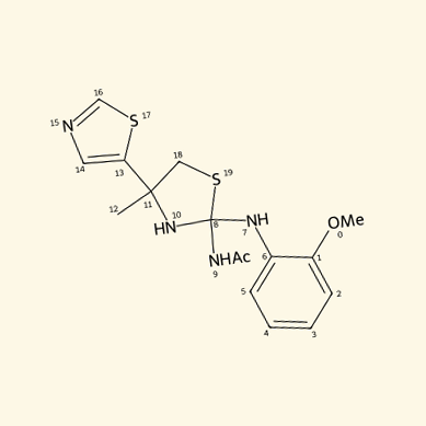 COc1ccccc1NC1(NC(C)=O)NC(C)(c2cncs2)CS1